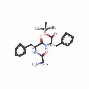 C[C@H](N)C(=O)N[C@@H](Cc1ccccc1)C(=O)N[C@@H](Cc1ccccc1)C(=O)O[Si](C)(C(C)(C)C)C(C)(C)C